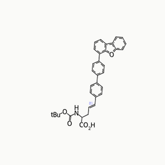 CC(C)(C)OC(=O)NC(C/C=C/c1ccc(-c2ccc(-c3cccc4c3oc3ccccc34)cc2)cc1)C(=O)O